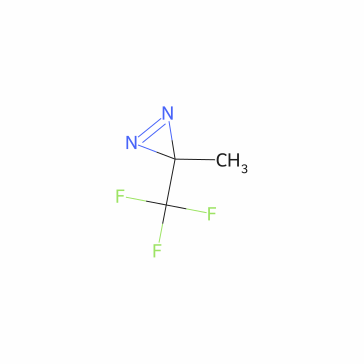 CC1(C(F)(F)F)N=N1